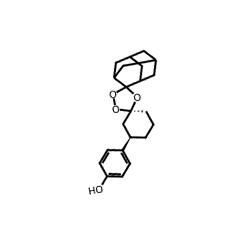 Oc1ccc([C@@H]2CCC[C@]3(C2)OOC2(O3)C3CC4CC(C3)CC2C4)cc1